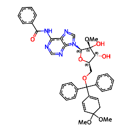 COC1(OC)C=CC(C(OC[C@H]2O[C@@H](n3cnc4c(NC(=O)c5ccccc5)ncnc43)[C@@](O)(OC)[C@@H]2O)(c2ccccc2)c2ccccc2)=CC1